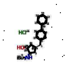 CCC(C)N[C@@H]1C[C@@H](Cc2ccc(-c3ccccc3)cc2)C[C@H]1O.Cl